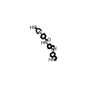 O=C(Nc1ccc2c(cnn2-c2ccc3[nH]ccc3c2)c1)c1ccc(N2CCC(O)CC2)cc1